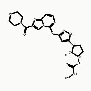 CC(C)NC(=O)O[C@@H]1CC[C@H](c2cc(Nc3nccc4nc(C(=O)N5CCNCC5)cn34)n[nH]2)[C@H]1F